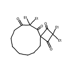 CCC1(CC)C(=O)CCCCCCCC2(C1=O)C(=O)C(CC)(CC)C2=O